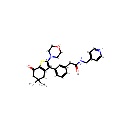 CC1(C)CC(=O)c2sc(N3CCOCC3)c(-c3cccc(CC(=O)NCc4ccncc4)c3)c2C1